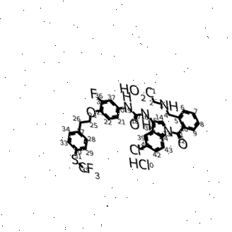 Cl.O=C(O)CNCc1ccccc1C(=O)n1cc(NC(=O)Nc2ccc(OCCc3ccc(SC(F)(F)F)cc3)c(F)c2)c2cc(Cl)ccc21